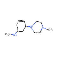 CN[C@H]1CC=C[C@@H](N2CCN(C)CC2)C1